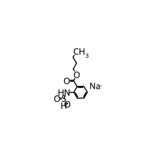 CCCCOC(=O)c1ccccc1N[SH](=O)=O.[Na]